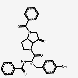 O=C(N[C@@H](Cc1ccc(O)cc1)C(=O)N1CCC2C1C(=O)CN2C(=O)c1ccccc1)c1ccccc1